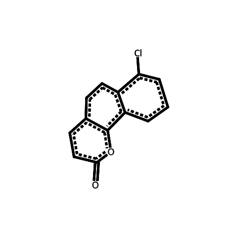 O=c1ccc2ccc3c(Cl)cccc3c2o1